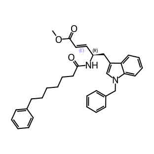 COC(=O)/C=C/[C@@H](Cc1cn(Cc2ccccc2)c2ccccc12)NC(=O)CCCCCCc1ccccc1